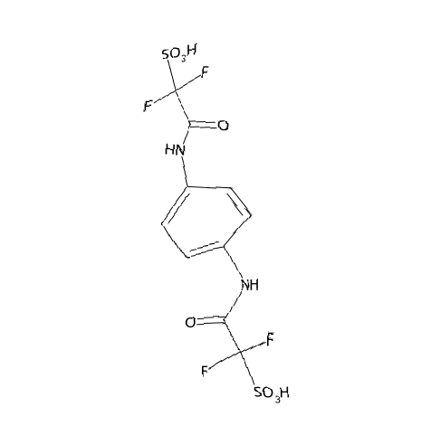 O=C(Nc1ccc(NC(=O)C(F)(F)S(=O)(=O)O)cc1)C(F)(F)S(=O)(=O)O